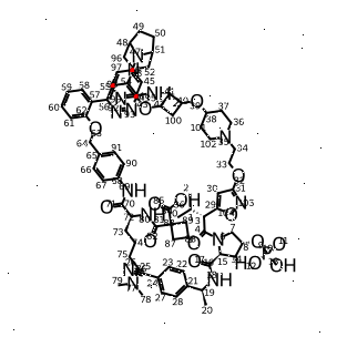 CC(C)[C@@H](C(=O)N1C[C@H](OP(=O)(O)O)C[C@H]1C(=O)N[C@@H](C)c1ccc(C#N)cc1)c1cc(OCCN2CCC(OC3CC(Oc4cc(N5C6CCC5CN(c5cc(-c7ccccc7OCc7ccc(NC(=O)[C@H](CCCCN(C)C)NC(=O)C8(C(=O)O)CCC8)cc7)nnc5N)C6)ccn4)C3)CC2)no1